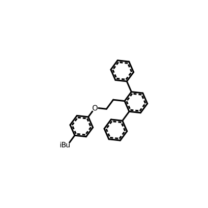 CCC(C)c1ccc(OCCc2c(-c3ccccc3)cccc2-c2ccccc2)cc1